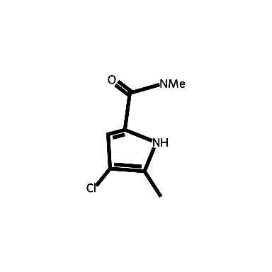 CNC(=O)c1cc(Cl)c(C)[nH]1